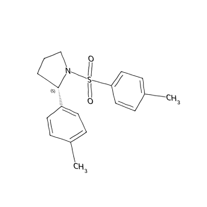 Cc1ccc([C@@H]2CCCN2S(=O)(=O)c2ccc(C)cc2)cc1